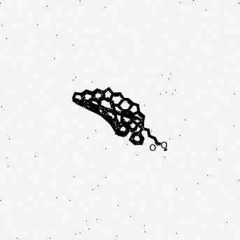 COC(=O)CCCC1(c2ccccc2)C23C=C4CC5=CC6C=C7Cc8cc9cc%10c%11c(c%12c%13c%14c(c4c5c4c%14c5c(c7c8c7c9c%11c%13c57)C46)C%1221)C(=C3)C%10